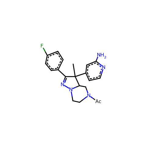 CC(=O)N1CCN2N=C(c3ccc(F)cc3)C(C)(c3ccnc(N)c3)C2C1